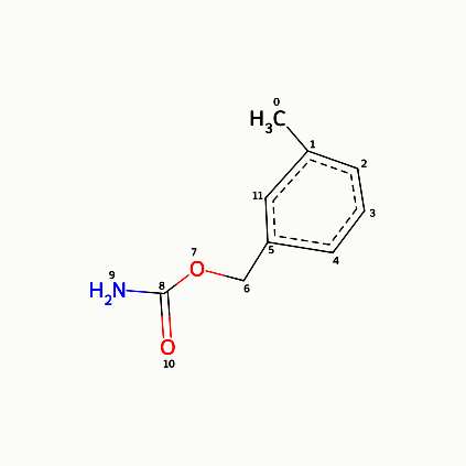 Cc1cccc(COC(N)=O)c1